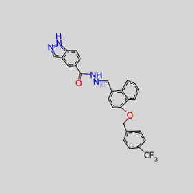 O=C(N/N=C/c1ccc(OCc2ccc(C(F)(F)F)cc2)c2ccccc12)c1ccc2[nH]ncc2c1